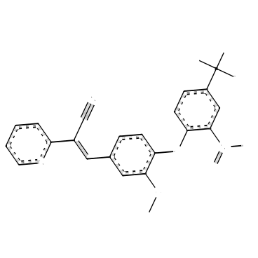 COc1cc(/C=C(\C#N)c2ccccn2)ccc1Oc1ccc(C(F)(F)F)cc1[N+](=O)[O-]